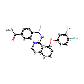 COC(=O)c1ccc([C@H](C)Nc2nccc3cccc(Oc4ccc(F)c(F)c4)c23)cc1